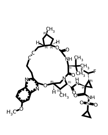 COc1ccc2nc3c(nc2c1)O[C@H]1CN(C(=O)[C@H](C(C)(C)C)NC(=O)O[C@@H]2C[C@H](C)C[C@H]2CCCCC3)[C@H](C(=O)N[C@]2(C(=O)NS(=O)(=O)C3CC3)C[C@H]2C(F)F)[C@@H]1C